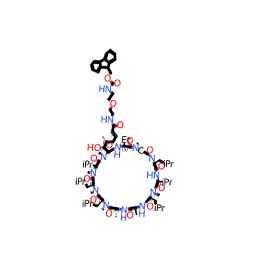 CC[C@@H]1NC(=O)[C@H]([C@H](O)[C@H](C)C/C=C/C(=O)NCCOCCNC(=O)OCC2c3ccccc3-c3ccccc32)N(C)C(=O)[C@H](C(C)C)N(C)C(=O)[C@H](CC(C)C)N(C)C(=O)[C@H](CC(C)C)N(C)C(=O)[C@@H](C)NC(=O)[C@H](C)NC(=O)[C@H](CC(C)C)N(C)C(=O)[C@H](C(C)C)NC(=O)[C@H](CC(C)C)N(C)C(=O)CN(C)C1=O